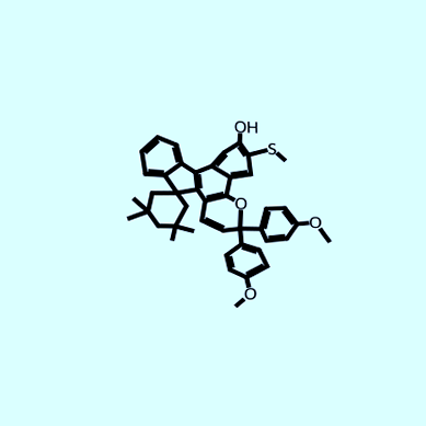 COc1ccc(C2(c3ccc(OC)cc3)C=Cc3c4c(c5cc(O)c(SC)cc5c3O2)-c2ccccc2C42CC(C)(C)CC(C)(C)C2)cc1